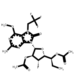 CC[C@H](OC(C)=O)[C@H]1O[C@@H](n2c(=O)n(CC(F)(F)F)c3c(OC)nc(N)nc32)[C@H](OC(C)=O)[C@H]1F